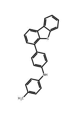 Cc1ccc(Nc2ccc(-c3cccc4c3sc3ccccc34)cc2)cc1